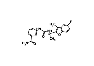 Cc1c([C@H](C)NC(=O)Nc2cccc(C(N)=O)c2)oc2ccc(F)cc12